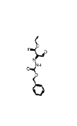 CCOC(=O)/C(C=O)=N/NC(=O)OCc1ccccc1